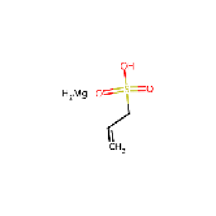 C=CCS(=O)(=O)O.[MgH2]